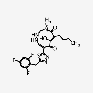 CCCC/C1=C(/O)C(=O)/C(c2nnc(Cc3c(F)cc(F)cc3F)s2)=C\NNCN(C)C1=O